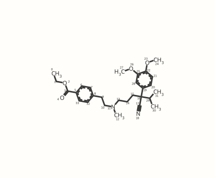 CCOC(=O)c1ccc(CCN(C)CCCC(C#N)(c2ccc(OC)c(OC)c2)C(C)C)cc1